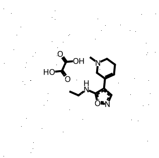 CCNc1oncc1C1=CCCN(C)C1.O=C(O)C(=O)O